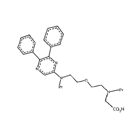 CC(C)N(CCOCCN(c1cnc(-c2ccccc2)c(-c2ccccc2)n1)C(C)C)CC(=O)O